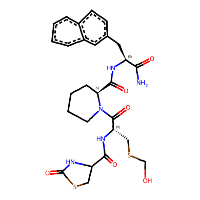 NC(=O)[C@H](Cc1ccc2ccccc2c1)NC(=O)[C@@H]1CCCCN1C(=O)[C@H](CSCO)NC(=O)C1CSC(=O)N1